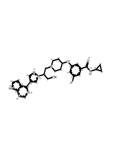 N#CCC(CN1CCC(Oc2cc(F)cc(C(=O)NC3CC3)c2)CC1)n1cc(-c2ncnc3[nH]ccc23)cn1